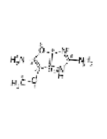 COc1c(N)oc2nc(N)[nH]c12